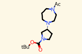 CC(=O)N1CCCN([C@@H]2CCN(C(=O)OC(C)(C)C)C2)CC1